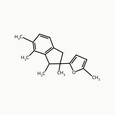 Cc1ccc(C2(C)[CH]c3ccc(C)c(C)c3C2C)o1